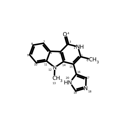 Cc1[nH]c(=O)c2c3ccccc3n(C)c2c1-c1cnc[nH]1